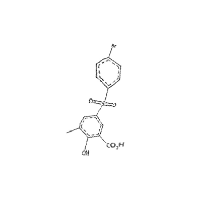 Cc1cc(S(=O)(=O)c2ccc(Br)cc2)cc(C(=O)O)c1O